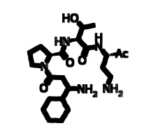 CC(=O)[C@H](CCN)NC(=O)[C@@H](NC(=O)[C@@H]1CCCN1C(=O)CC(N)C1CCCCC1)C(C)O